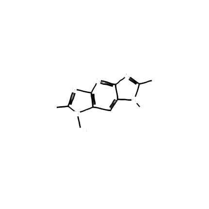 Cc1nc2nc3nc(C)n(C)c3cc2n1C